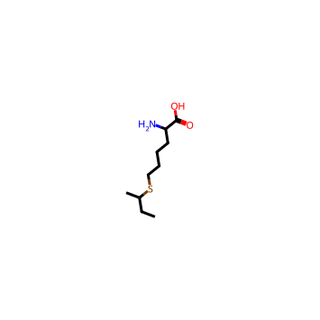 CCC(C)SCCCCC(N)C(=O)O